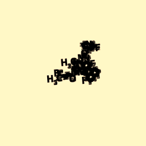 C#Cc1c(F)ccc2cccc(-c3ncc4c(N(C)[C@@H]5CCN(C(=O)/C=C/C(C)Br)C5)nc(OC[C@@]56CCCN5C[C@H](F)C6)nc4c3F)c12